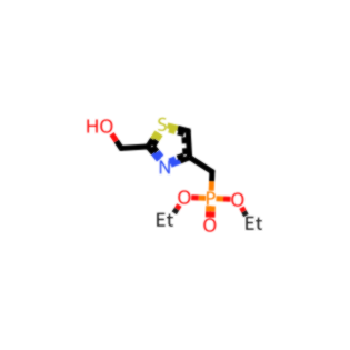 CCOP(=O)(Cc1csc(CO)n1)OCC